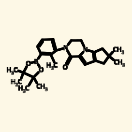 Cc1c(B2OC(C)(C)C(C)(C)O2)cccc1N1CCn2c(cc3c2CC(C)(C)C3)C1=O